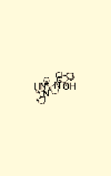 O=C([C@H](O)c1ccccc1Cl)N1CCCc2nc(C3(c4ccccc4)CC3)[nH]c(=O)c2C1